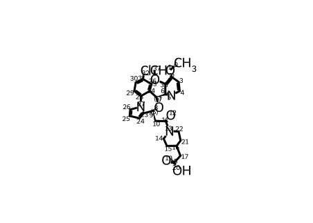 COc1ccnc([C@H]2O[C@@H](CC(=O)N3CCC(CC(=O)O)CC3)c3cccn3-c3ccc(Cl)cc32)c1OC